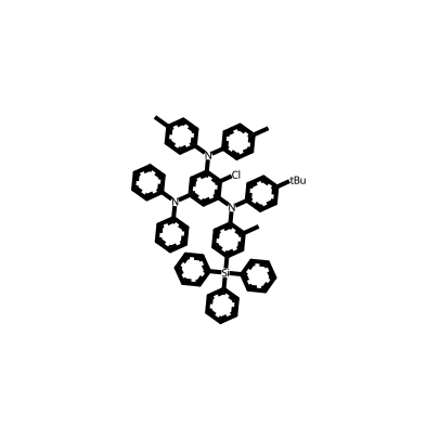 Cc1ccc(N(c2ccc(C)cc2)c2cc(N(c3ccccc3)c3ccccc3)cc(N(c3ccc(C(C)(C)C)cc3)c3ccc([Si](c4ccccc4)(c4ccccc4)c4ccccc4)cc3C)c2Cl)cc1